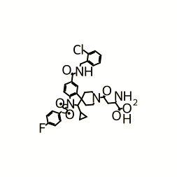 NC(CC(=O)N1CCC2(CC1)c1cc(C(=O)NCc3ccccc3Cl)ccc1N(S(=O)(=O)c1ccc(F)cc1)C2C1CC1)C(=O)O